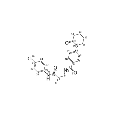 CC(CNC(=O)c1ccc(N2CCCCC2=O)cc1)C(=O)Nc1ccc(Cl)cc1